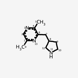 Cc1cnc(C)c(CC2CCNC2)n1